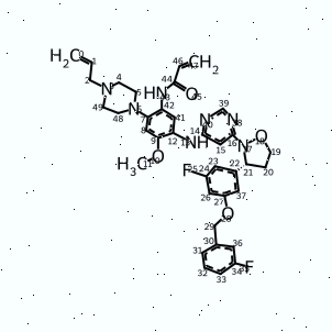 C=CCN1CCN(c2cc(OC)c(Nc3cc(N4OCC[C@@H]4c4cc(F)cc(OCc5cccc(F)c5)c4)ncn3)cc2NC(=O)C=C)CC1